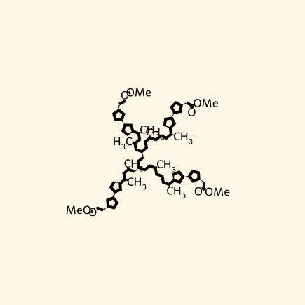 COOCC[C@H]1CCC([C@H]2CC[C@H]([C@H](C)CC(C)C[C@@H](CC[C@@H](C)CCC[C@@H](C)[C@H]3CC[C@H](C4CC[C@H](CC(=O)OC)C4)C3)CC[C@H](CC[C@@H](C)CCC[C@@H](C)[C@H]3CC[C@H](C4CC[C@H](CC(=O)OC)C4)C3)CC(C)C[C@@H](C)[C@H]3CC[C@H](C4CC[C@H](CCOOC)C4)C3)C2)C1